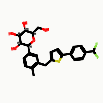 Cc1ccc([C@@H]2O[C@H](CO)[C@@H](O)[C@H](O)[C@H]2O)cc1Cc1ccc(-c2ccc(C(F)F)cc2)s1